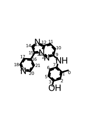 Cc1cc(O)ccc1Nc1ccc2ncc(-c3ccncc3)n2n1